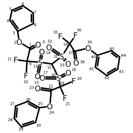 O=C(Oc1ccccc1)C(F)(F)S(=O)(=O)C(S(=O)(=O)C(F)(F)C(=O)Oc1ccccc1)S(=O)(=O)C(F)(F)C(=O)Oc1ccccc1